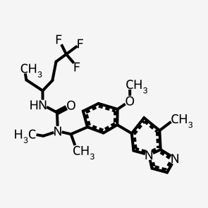 CCC(CCC(F)(F)F)NC(=O)N(CC)C(C)c1ccc(OC)c(-c2cc(C)c3nccn3c2)c1